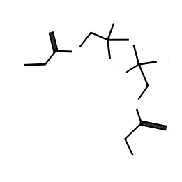 CCC(=O)OCC(C)(C)SC(C)(C)COC(=O)CC